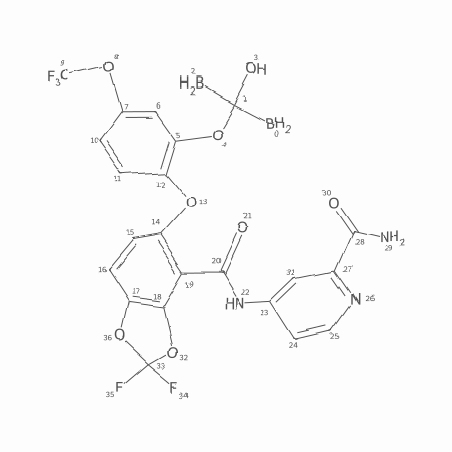 BC(B)(O)Oc1cc(OC(F)(F)F)ccc1Oc1ccc2c(c1C(=O)Nc1ccnc(C(N)=O)c1)OC(F)(F)O2